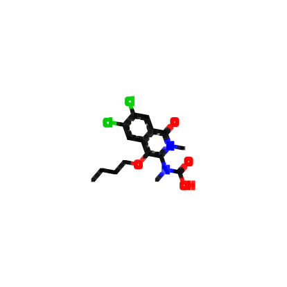 CCCCOc1c(N(C)C(=O)O)n(C)c(=O)c2cc(Cl)c(Cl)cc12